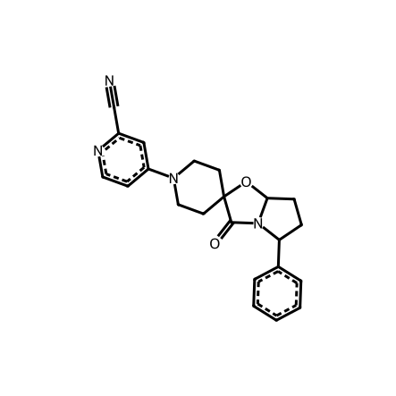 N#Cc1cc(N2CCC3(CC2)OC2CCC(c4ccccc4)N2C3=O)ccn1